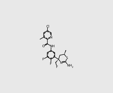 Cc1cc(Cl)cnc1C(=O)Nc1cc(F)c(F)c([C@]2(CF)C[C@@H](C)SC(N)=N2)c1